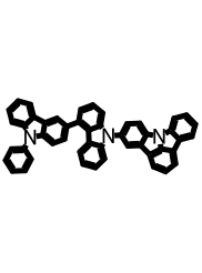 c1ccc(-n2c3ccccc3c3cc(-c4cccc5c4c4ccccc4n5-c4ccc5c(c4)c4cccc6c7ccccc7n5c64)ccc32)cc1